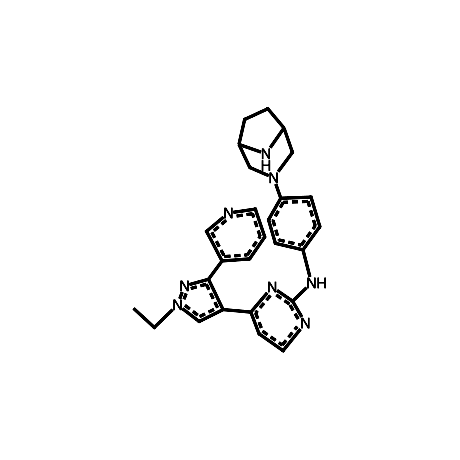 CCn1cc(-c2ccnc(Nc3ccc(N4CC5CCC(C4)N5)cc3)n2)c(-c2cccnc2)n1